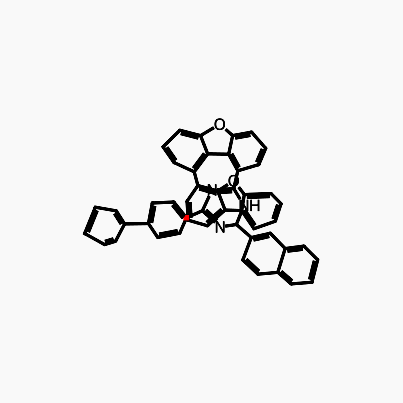 c1ccc(-c2ccc(C3=NC(c4ccc5ccccc5c4)NC(c4cccc5oc6cccc(-c7cccc8c7oc7ccccc78)c6c45)=N3)cc2)cc1